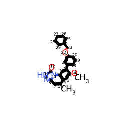 COc1cc2c(C)cc3n[nH]c(=O)n3c2cc1-c1cccc(OCc2ccccc2)c1